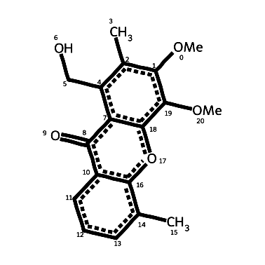 COc1c(C)c(CO)c2c(=O)c3cccc(C)c3oc2c1OC